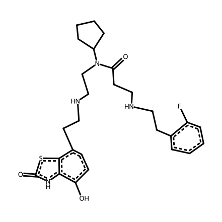 O=C(CCNCCc1ccccc1F)N(CCNCCc1ccc(O)c2[nH]c(=O)sc12)C1CCCC1